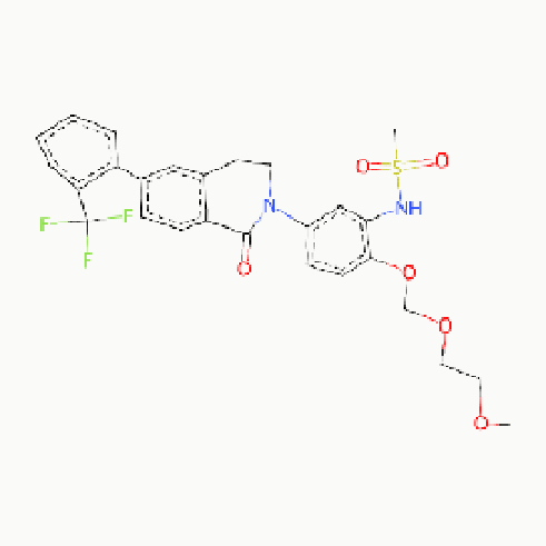 COCCOCOc1ccc(N2CCc3cc(-c4ccccc4C(F)(F)F)ccc3C2=O)cc1NS(C)(=O)=O